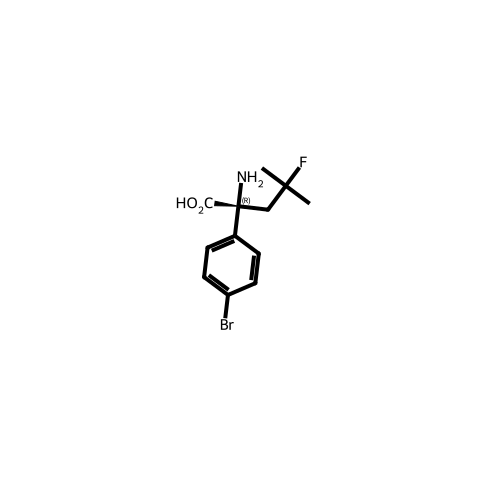 CC(C)(F)C[C@](N)(C(=O)O)c1ccc(Br)cc1